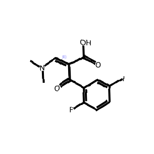 CN(C)/C=C(/C(=O)O)C(=O)c1cc(I)ccc1F